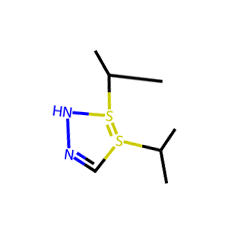 CC(C)S1=S(C(C)C)NN=C1